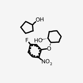 O=[N+]([O-])c1ccc(F)cc1O[C@H]1CCCC[C@H]1O.OC1CCCC1